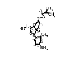 C=C(C)C(=O)OCC(=O)OC1[C@@H](CO)O[C@@H](N2C=CC(N)=NC2=C)C1(F)F